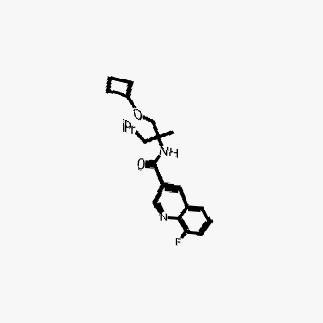 CC(C)CC(C)(COC1CCC1)NC(=O)c1cnc2c(F)cccc2c1